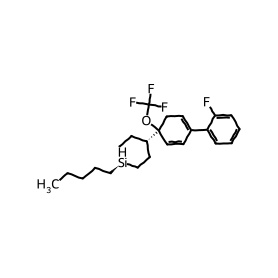 CCCCC[Si@H]1CC[C@H](C2(OC(F)(F)F)C=CC(c3ccccc3F)=CC2)CC1